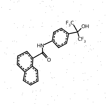 O=C(Nc1ccc(C(O)(C(F)(F)F)C(F)(F)F)cc1)c1cccc2ccccc12